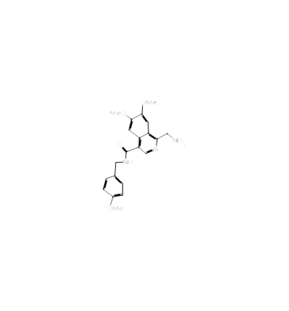 COc1ccc(CNC(=O)c2cnc(CN)c3cc(OC)c(OC)cc23)cc1